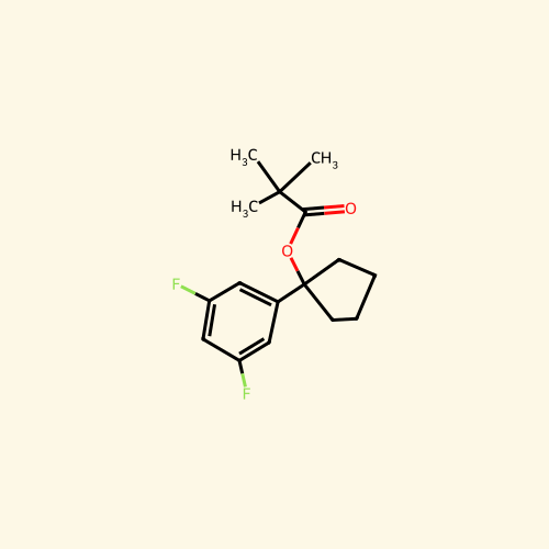 CC(C)(C)C(=O)OC1(c2cc(F)cc(F)c2)CCCC1